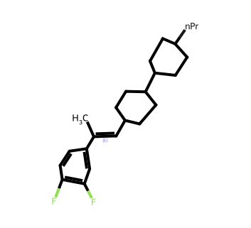 CCCC1CCC(C2CCC(/C=C(\C)c3ccc(F)c(F)c3)CC2)CC1